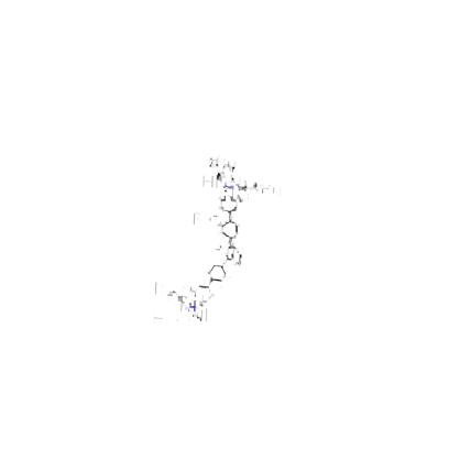 Cn1c(-c2ccc(C3=CCN(/C(=N\C(=O)OC(C)(C)C)NC(=O)O)CC3)cc2)nnc1-c1ccc(C2=CCN(/C(=N\C(=O)OC(C)(C)C)NC(=O)OC(C)(C)C)CC2)c(C(F)(F)F)c1